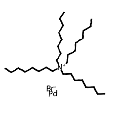 CCCCCCCC[N+](CCCCCCCC)(CCCCCCCC)CCCCCCCC.[Br-].[Pd]